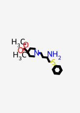 COC(=O)C1(C)CCN(CC[C@@H](N)CSc2ccccc2)CC1